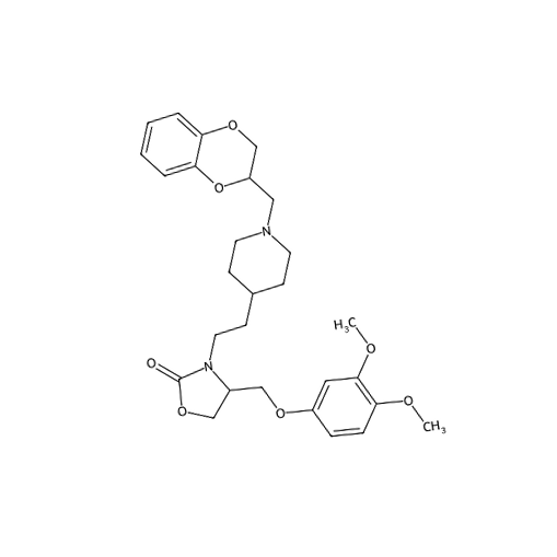 COc1ccc(OCC2COC(=O)N2CCC2CCN(CC3COc4ccccc4O3)CC2)cc1OC